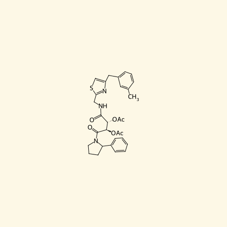 CC(=O)O[C@@H](C(=O)NCc1nc(Cc2cccc(C)c2)cs1)[C@@H](OC(C)=O)C(=O)N1CCCC1c1ccccc1